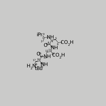 CC(C)C(C)N[C@@H](CCC(=O)O)C(=O)NC(CNC(=O)[C@H](CN)NC(C)(C)C)C(=O)O